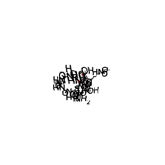 CC[C@H](C)[C@@H]1NC(=O)CNC(=O)C2Cc3c([nH]c4cc(OCCCCCCNC(=O)OC(C)(C)C)ccc34)SCC(NC(=O)CNC1=O)C(=O)N[C@@H](CC(N)=O)C(=O)N1C[C@H](O)C[C@H]1C(=O)N[C@@H]([C@@H](C)[C@@H](O)CO)C(=O)N2